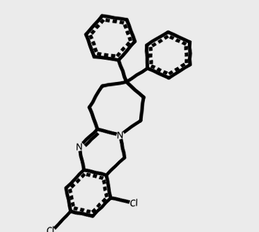 Clc1cc(Cl)c2c(c1)N=C1CCC(c3ccccc3)(c3ccccc3)CCN1C2